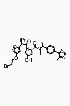 Cc1ncsc1-c1ccc(C(C)NC(=O)[C@@H]2C[C@@H](O)CN2C(=O)C(c2cc(OCCBr)no2)C(C)C)cc1